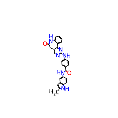 Cc1cc2cc(NC(=O)c3ccc(Nc4ncc5c(n4)-c4ccccc4NC(=O)C5)cc3)ccc2[nH]1